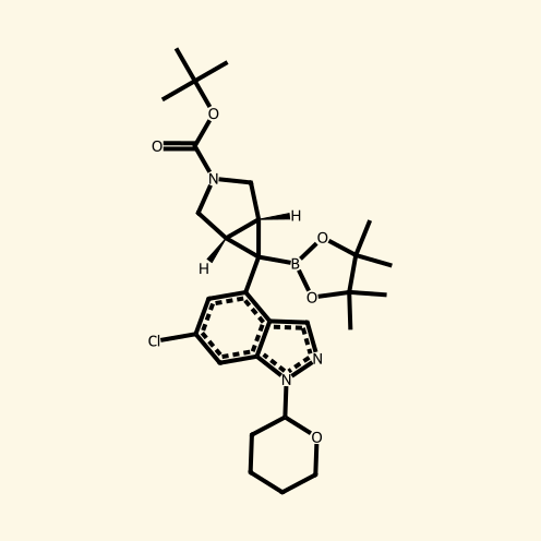 CC(C)(C)OC(=O)N1C[C@@H]2[C@H](C1)C2(B1OC(C)(C)C(C)(C)O1)c1cc(Cl)cc2c1cnn2C1CCCCO1